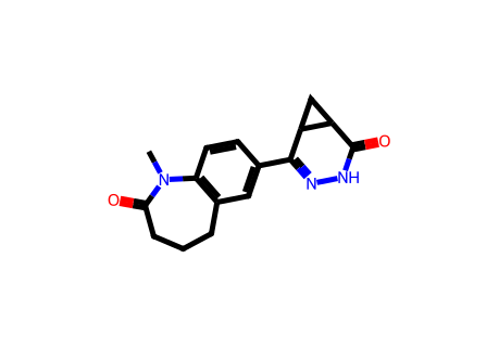 CN1C(=O)CCCc2cc(C3=NNC(=O)C4CC34)ccc21